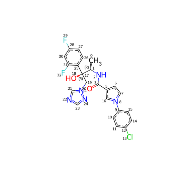 C[C@@H](NC(=O)c1ccn(-c2ccc(Cl)cc2)c1)[C@](O)(Cn1cncn1)c1ccc(F)cc1F